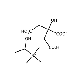 CC(O)[N+](C)(C)C.O=C(O)CC(O)(CC(=O)O)C(=O)[O-]